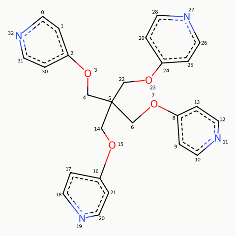 c1cc(OCC(COc2ccncc2)(COc2ccncc2)COc2ccncc2)ccn1